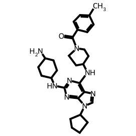 Cc1ccc(C(=O)N2CCC(Nc3nc(NC4CCC(N)CC4)nc4c3ncn4C3CCCC3)CC2)cc1